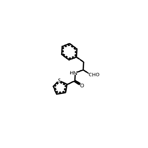 O=CC(Cc1ccccc1)NC(=O)c1cccs1